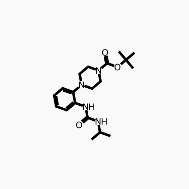 CC(C)NC(=O)Nc1ccccc1N1CCN(C(=O)OC(C)(C)C)CC1